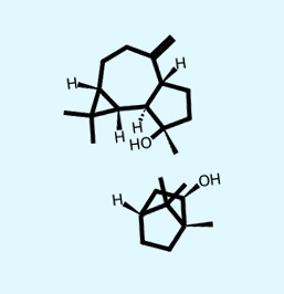 C=C1CC[C@@H]2[C@H]([C@H]3[C@H]1CC[C@]3(C)O)C2(C)C.CC1(C)[C@@H]2CC[C@@]1(C)[C@H](O)C2